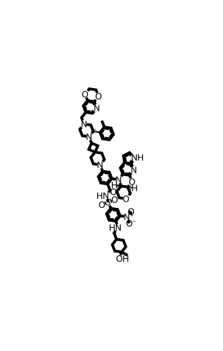 Cc1ccccc1[C@@H]1CN(Cc2cnc3c(c2)OCCO3)CCN1C1CC2(CCN(c3ccc(C(=O)NS(=O)(=O)c4ccc(NCC5CCC(C)(O)CC5)c([N+](=O)[O-])c4)c(N4c5cc6cc[nH]c6nc5O[C@H]5COCC[C@@H]54)c3)CC2)C1